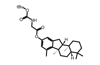 Cc1cc(OC(=O)CNC(=O)OC(C)(C)C)cc2c1[C@]1(C)CC[C@H]3C(C)(C)CCC[C@]3(C)[C@H]1C2